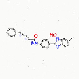 Cc1ccc2nc(-c3ccc(NC(=O)/C=C/C=C/c4ccccc4)cc3)n(O)c2c1